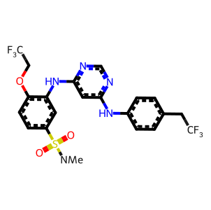 CNS(=O)(=O)c1ccc(OCC(F)(F)F)c(Nc2cc(Nc3ccc(CC(F)(F)F)cc3)ncn2)c1